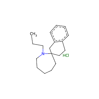 CCCN1CCCCCC12CCc1ccccc1C2.Cl